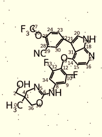 CC1(CO)CN=C(Nc2cc(F)c(Oc3ccnc4[nH]cc(-c5ccc(OC(F)(F)F)c(C#N)c5)c34)c(F)c2)OC1